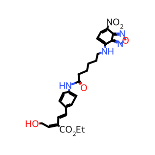 CCOC(=O)C(/C=C/c1ccc(NC(=O)CCCCCNc2ccc([N+](=O)[O-])c3nonc23)cc1)=C/CO